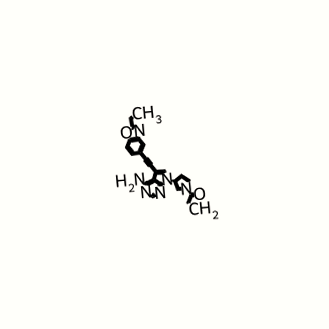 C=CC(=O)N1CC[C@H](n2cc(C#Cc3ccc4oc(CC)nc4c3)c3c(N)ncnc32)C1